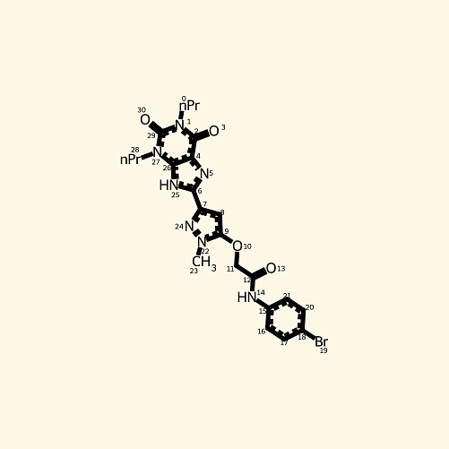 CCCn1c(=O)c2nc(-c3cc(OCC(=O)Nc4ccc(Br)cc4)n(C)n3)[nH]c2n(CCC)c1=O